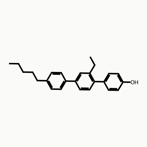 CCCCCc1ccc(-c2ccc(-c3ccc(O)cc3)c(CC)c2)cc1